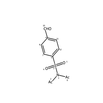 CC(=O)N(C(C)=O)S(=O)(=O)c1ccc(C=O)cc1